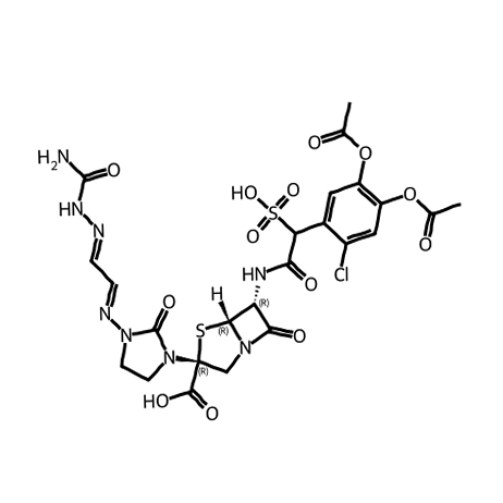 CC(=O)Oc1cc(Cl)c(C(C(=O)N[C@@H]2C(=O)N3C[C@@](C(=O)O)(N4CCN(N=CC=NNC(N)=O)C4=O)S[C@H]23)S(=O)(=O)O)cc1OC(C)=O